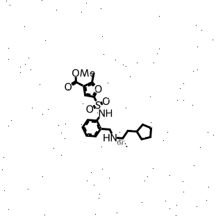 COC(=O)c1cc(S(=O)(=O)Nc2ccccc2CN[C@@H](C)CC2CCCC2)oc1C